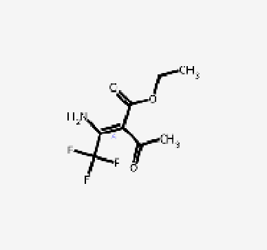 CCOC(=O)/C(C(C)=O)=C(\N)C(F)(F)F